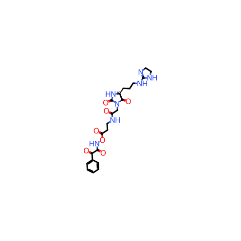 O=C(CN1C(=O)N[C@@H](CCCNC2=NCCN2)C1=O)NCCC(=O)ONC(=O)C(=O)c1ccccc1